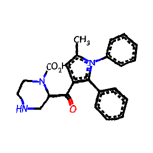 Cc1cc(C(=O)C2CNCCN2C(=O)O)c(-c2ccccc2)n1-c1ccccc1